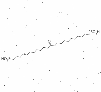 O=C(CCCCCCCCCCCS(=O)(=O)O)CCCCCCCCCCCS(=O)(=O)O